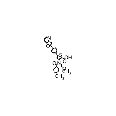 COCCN(c1cc(-c2ccc(-c3cc4ncccc4o3)cc2)sc1C(=O)O)C(=O)[C@H]1CC[C@H](C)CC1